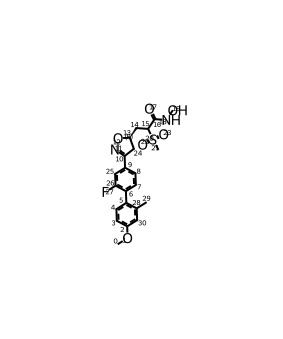 COc1ccc(-c2ccc(C3=NO[C@@H](CC(C(=O)NO)S(C)(=O)=O)C3)cc2F)c(C)c1